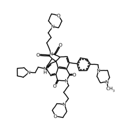 CN1CCN(Cc2ccc(C3=CC4C(=O)N(CCCN5CCOCC5)C(=O)C(NCCN5CCCC5)C45C=CC=C4C(=O)N(CCCN6CCOCC6)C(=O)C3=C45)cc2)CC1